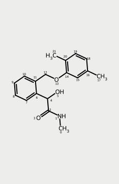 CNC(=O)C(O)c1ccccc1COc1cc(C)ccc1C